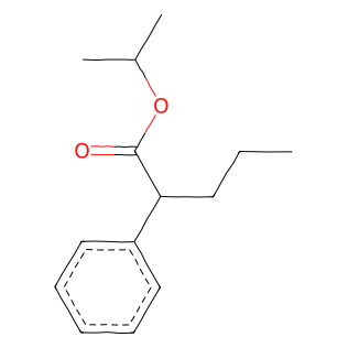 CCCC(C(=O)OC(C)C)c1ccccc1